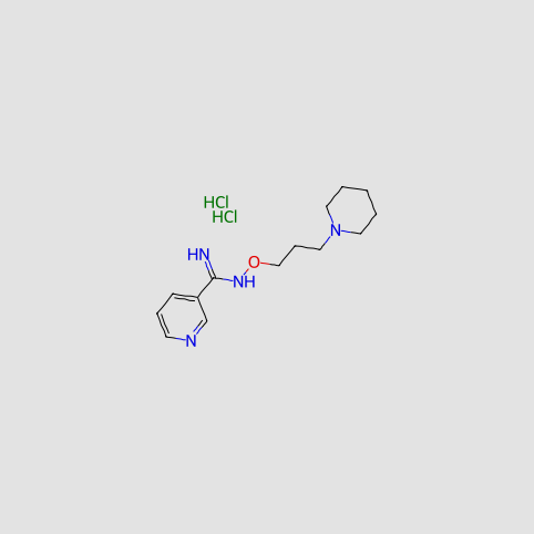 Cl.Cl.N=C(NOCCCN1CCCCC1)c1cccnc1